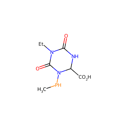 CCN1C(=O)NC(C(=O)O)N(PC)C1=O